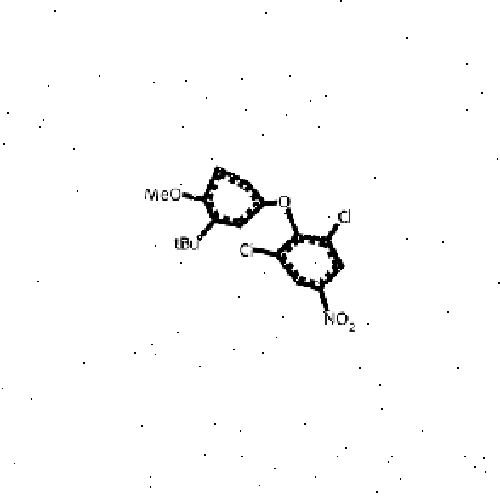 COc1ccc(Oc2c(Cl)cc([N+](=O)[O-])cc2Cl)cc1C(C)(C)C